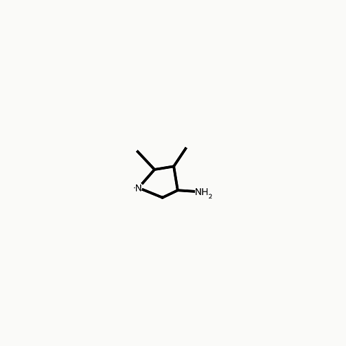 CC1[N]CC(N)C1C